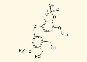 COc1cc(/C=C\c2ccc(OC)c(OP(=O)(O)O)c2F)cc(CO)c1CO